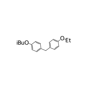 CCOc1ccc(Cc2ccc(OCC(C)C)cc2)cc1